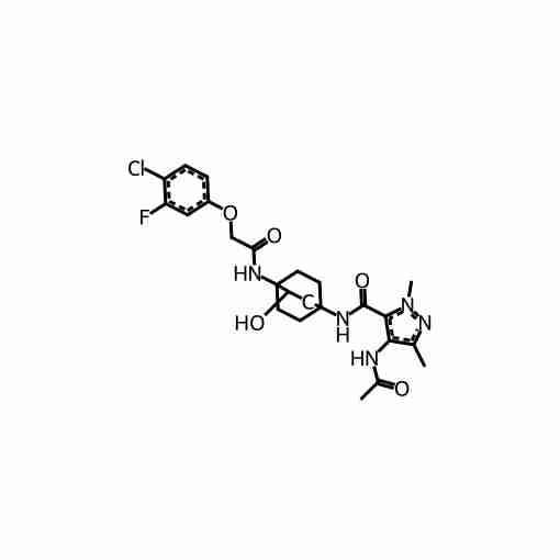 CC(=O)Nc1c(C)nn(C)c1C(=O)NC12CCC(NC(=O)COc3ccc(Cl)c(F)c3)(CC1)C(O)C2